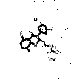 Cc1ccc(F)c2c(=O)n(-c3cc(F)cc(C#N)c3)c(CCNC(=O)OC(C)(C)C)nc12